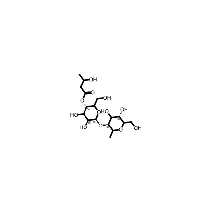 CC(O)CC(=O)O[C@@H]1C(CO)O[C@@H](O[C@@H]2C(C)OC(CO)[C@@H](O)C2O)[C@@H](O)C1O